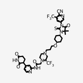 CC1(C)C(=O)N(c2cnc(C#N)c(C(F)(F)F)c2)C(=S)N1[C@H]1CC[C@H](OCCCN2CCN(CC(=O)Nc3cc(C4CCC(=O)NC4=O)ccn3)[C@@H](C(F)(F)F)C2)CC1